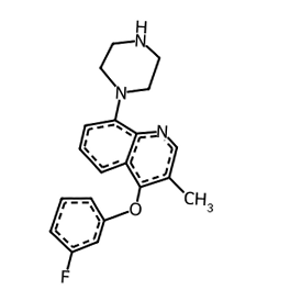 Cc1cnc2c(N3CCNCC3)cccc2c1Oc1cccc(F)c1